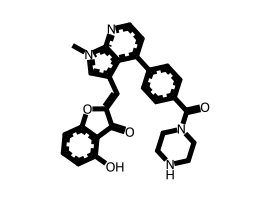 Cn1cc(C=C2Oc3cccc(O)c3C2=O)c2c(-c3ccc(C(=O)N4CCNCC4)cc3)ccnc21